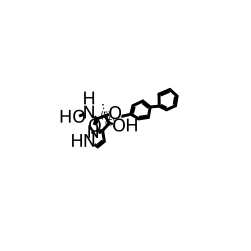 C[C@@](OCc1ccc(-c2ccccc2)cc1)(C(=O)NO)[C@@H](O)c1cc[nH]n1